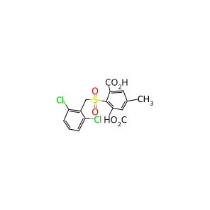 Cc1cc(C(=O)O)c(S(=O)(=O)Cc2c(Cl)cccc2Cl)c(C(=O)O)c1